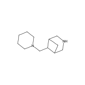 C1CCN(CC2C3CNCC2C3)CC1